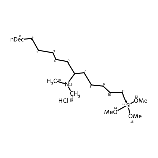 CCCCCCCCCCCCCCCC(CCCCC[Si](OC)(OC)OC)N(C)C.Cl